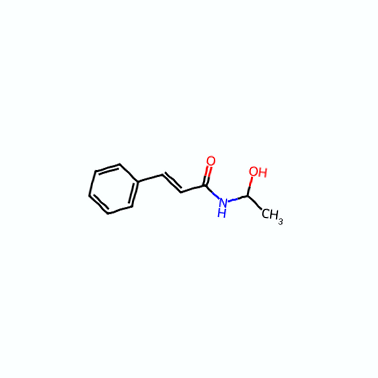 CC(O)NC(=O)C=Cc1ccccc1